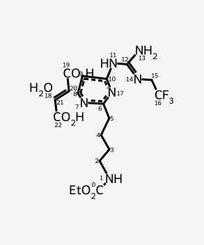 CCOC(=O)NCCCCc1nccc(NC(N)=NCC(F)(F)F)n1.O.O=C(O)C=CC(=O)O